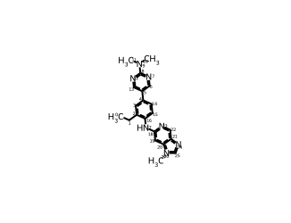 CCc1cc(-c2cnc(N(C)C)nc2)ccc1Nc1cc2c(cn1)ncn2C